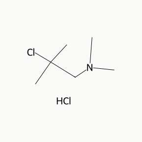 CN(C)CC(C)(C)Cl.Cl